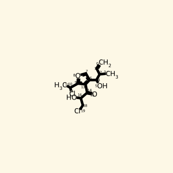 C=CC(C)C(O)c1coc(C(C)Cl)c1C(=O)C(O)CCl